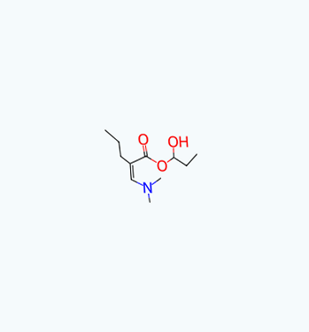 CCCC(=CN(C)C)C(=O)OC(O)CC